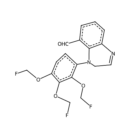 O=Cc1cccc2c1N(c1ccc(OCF)c(OCF)c1OCF)CC=N2